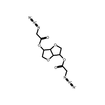 [N-]=[N+]=NCC(=O)OC1COC2C(OC(=O)CN=[N+]=[N-])COC12